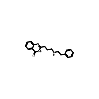 O=c1[nH]c(CCCNCCc2ccccc2)nc2ccccc12